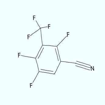 N#Cc1cc(F)c(F)c(C(F)(F)F)c1F